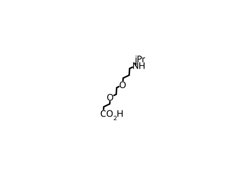 CC(C)NCCCOCCOCCC(=O)O